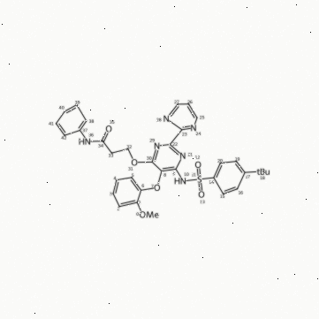 COc1ccccc1Oc1c(NS(=O)(=O)c2ccc(C(C)(C)C)cc2)nc(-c2ncccn2)nc1OCCC(=O)Nc1ccccc1